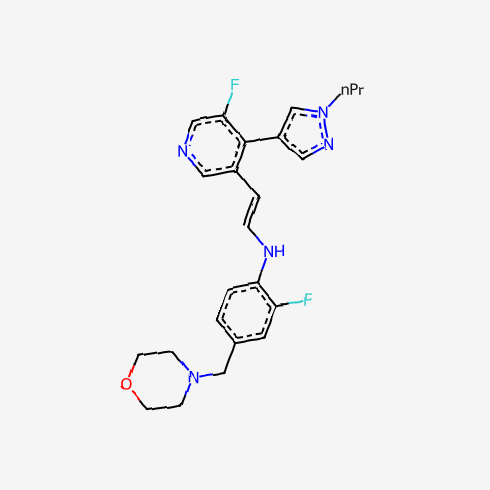 CCCn1cc(-c2c(F)cncc2/C=C/Nc2ccc(CN3CCOCC3)cc2F)cn1